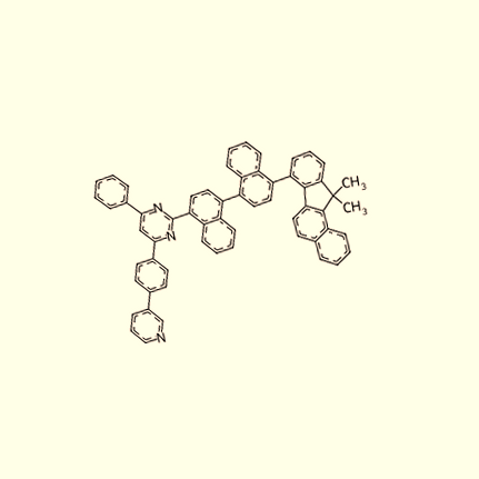 CC1(C)c2cccc(-c3ccc(-c4ccc(-c5nc(-c6ccccc6)cc(-c6ccc(-c7cccnc7)cc6)n5)c5ccccc45)c4ccccc34)c2-c2ccc3ccccc3c21